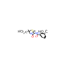 CC1(C(=O)O)CS[C@@H]2C(NC(=O)c3ccccc3C(=O)O)C(=O)N2C1